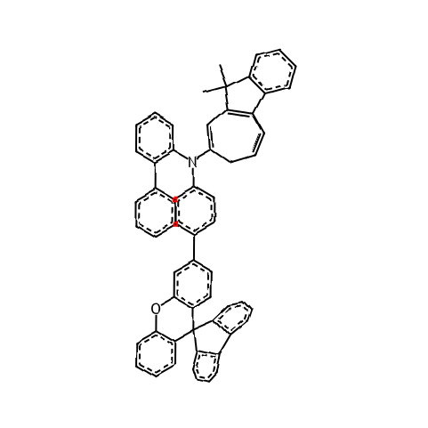 CC1(C)C2=C(C=CCC(N(c3ccc(-c4ccc5c(c4)Oc4ccccc4C54c5ccccc5-c5ccccc54)cc3)c3ccccc3-c3ccccc3)=C2)c2ccccc21